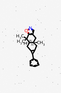 CC1(C)c2oncc2C[C@]2(C)CC3C(C[C@@H]12)C3c1ccccc1